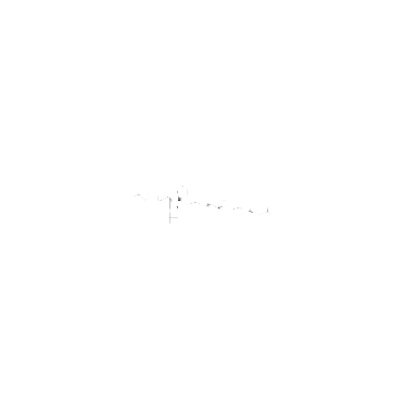 CCCOCCNC(=O)CCOCCOCCOCCC(C)C